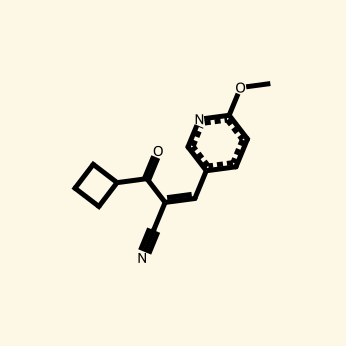 COc1ccc(C=C(C#N)C(=O)C2CCC2)cn1